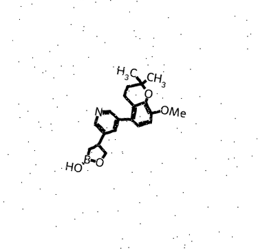 COc1ccc(-c2cncc(C3COB(O)C3)c2)c2c1OC(C)(C)CC2